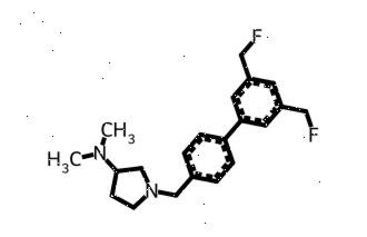 CN(C)C1CCN(Cc2ccc(-c3cc(CF)cc(CF)c3)cc2)C1